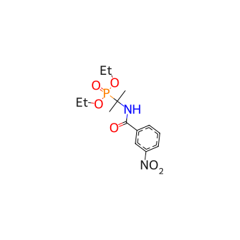 CCOP(=O)(OCC)C(C)(C)NC(=O)c1cccc([N+](=O)[O-])c1